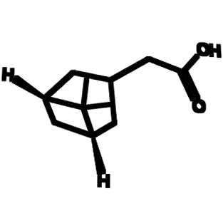 CC1(C)[C@@H]2CC(CC(=O)O)C[C@H]1C2